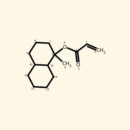 C=CC(=O)OC1(C)CCCC2CCCCC21